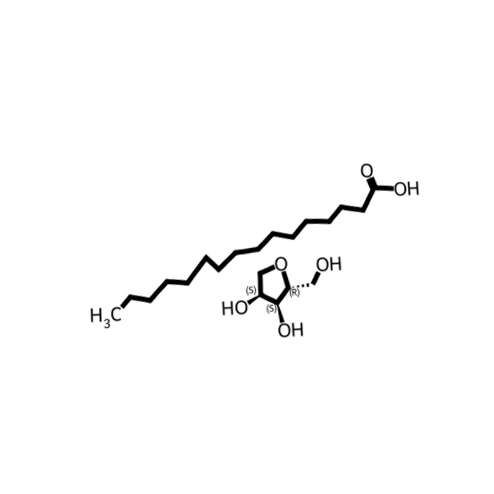 CCCCCCCCCCCCCCCC(=O)O.OC[C@H]1OC[C@H](O)[C@@H]1O